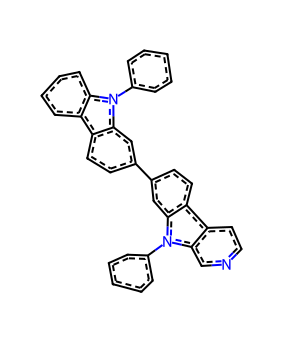 c1ccc(-n2c3ccccc3c3ccc(-c4ccc5c6ccncc6n(-c6ccccc6)c5c4)cc32)cc1